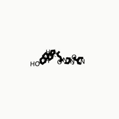 CC(CCC(=O)N1CCC(N(C)C(=O)c2ccncc2)CC1)[C@H]1CC[C@H]2[C@@H]3CC=C4C[C@@H](O)CC[C@]4(C)[C@H]3CC[C@]12C